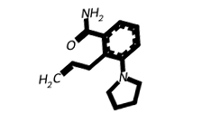 C=CCc1c(C(N)=O)cccc1N1CCCC1